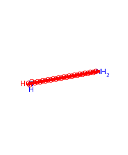 NCCOCCOCCOCCOCCOCCOCCOCCOCCOCCOCCOCCOCCOCCOCCOCCOCCOCCOCCOCCOCCOCCOCCOCCOCCC(=O)NCC(=O)O